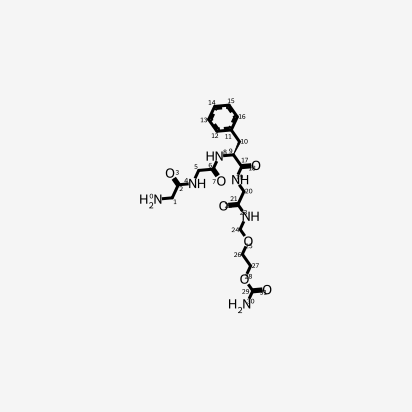 NCC(=O)NCC(=O)N[C@@H](Cc1ccccc1)C(=O)NCC(=O)NCOCCOC(N)=O